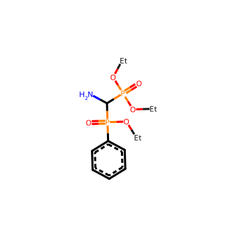 CCOP(=O)(OCC)C(N)P(=O)(OCC)c1ccccc1